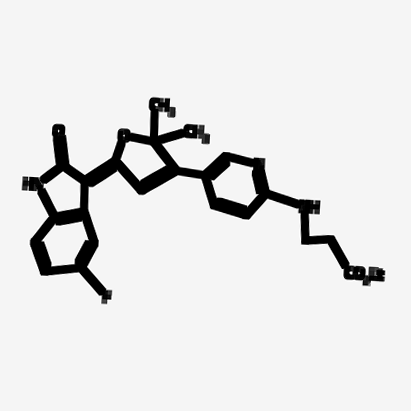 CCOC(=O)CCNc1ccc(C2=CC(=C3C(=O)Nc4ccc(F)cc43)OC2(C)C)cn1